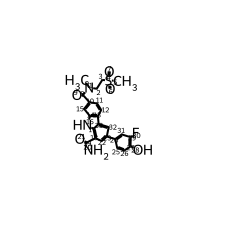 CN(CCS(C)(=O)=O)C(=O)c1ccc2c(c1)[nH]c1c(C(N)=O)cc(-c3ccc(O)c(F)c3)cc12